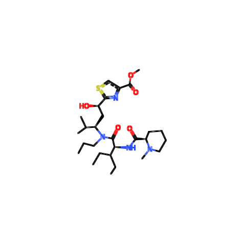 CCCN(C(=O)[C@@H](NC(=O)[C@H]1CCCCN1C)C(CC)CC)[C@H](C[C@@H](O)c1nc(C(=O)OC)cs1)C(C)C